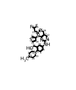 CN1CCN(c2ccc(Nc3ncc4c(n3)N(c3ccsc3)N(CC(F)F)OC4)cc2CO)CC1